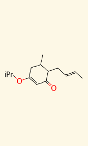 CC=CCC1C(=O)C=C(OC(C)C)CC1C